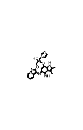 Cc1[nH]c2c(c1C)C(=N)C(=Nc1c(OCCO)nn3ccccc13)C=C2OCCn1ccnc1